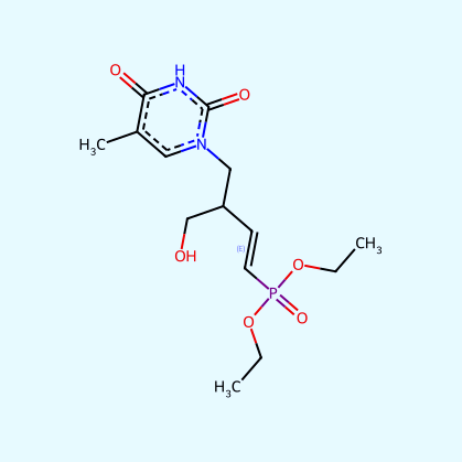 CCOP(=O)(/C=C/C(CO)Cn1cc(C)c(=O)[nH]c1=O)OCC